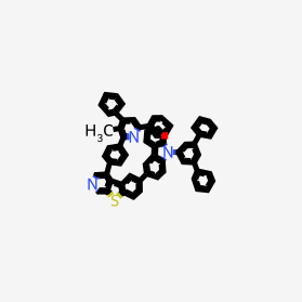 Cc1c(-c2ccccc2)cc(-c2ccccc2)nc1-c1ccc(-c2cncc3sc4ccc(-c5ccc6c(c5)c5ccccc5n6-c5cc(-c6ccccc6)cc(-c6ccccc6)c5)cc4c23)cc1